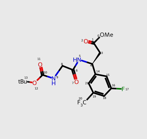 COC(=O)C[C@H](NC(=O)CNC(=O)OC(C)(C)C)c1cc(F)cc(C(F)(F)F)c1